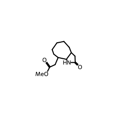 COC(=O)CC1CCCCCC2CC(=O)NC21